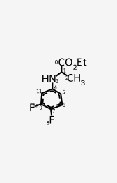 CCOC(=O)C(C)Nc1ccc(F)c(F)c1